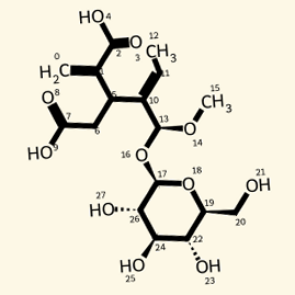 C=C(C(=O)O)C(CC(=O)O)/C(=C\C)[C@@H](OC)O[C@H]1O[C@@H](CO)[C@H](O)[C@@H](O)[C@@H]1O